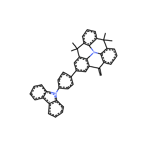 C=C1c2cccc3c2N2c4c1cc(-c1ccc(-n5c6ccccc6c6ccccc65)cc1)cc4C(C)(C)c1cccc(c12)C3(C)C